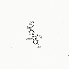 CCOc1ccc2c(C=O)c(-c3ccc(NC(=O)NC(C)C)cc3)n(CC3CC3)c2c1